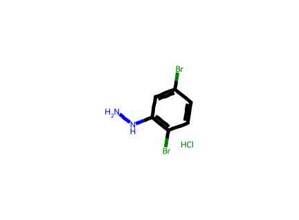 Cl.NNc1cc(Br)ccc1Br